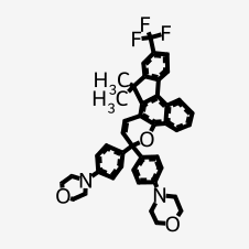 CC1(C)c2cc(C(F)(F)F)ccc2-c2c1c1c(c3ccccc23)OC(c2ccc(N3CCOCC3)cc2)(c2ccc(N3CCOCC3)cc2)C=C1